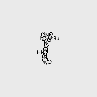 CN1CCc2cc(Nc3cc4c(cn3)CCN(c3cnc5c(c3Cl)N(C(=O)OC(C)(C)C)CCO5)C4)nn2CC1=O